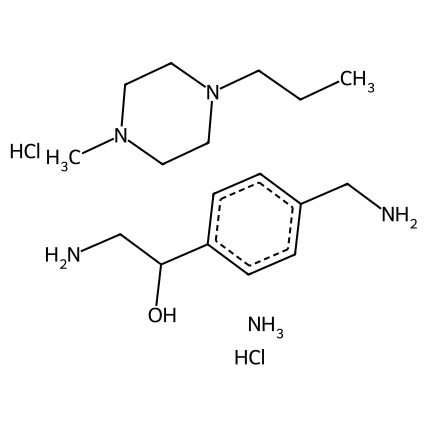 CCCN1CCN(C)CC1.Cl.Cl.N.NCc1ccc(C(O)CN)cc1